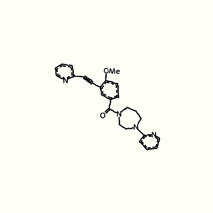 COc1ccc(C(=O)N2CCCN(c3ccccn3)CC2)cc1C#Cc1ccccn1